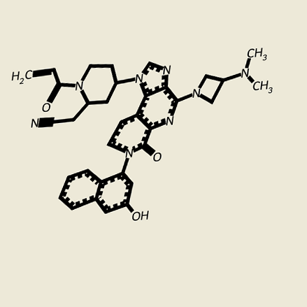 C=CC(=O)N1CCC(n2cnc3c(N4CC(N(C)C)C4)nc4c(=O)n(-c5cc(O)cc6ccccc56)ccc4c32)CC1CC#N